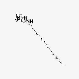 CCCCCCCCCCCCCCCCCCCCCCCCCCNc1ccc([N+](=O)[O-])cn1